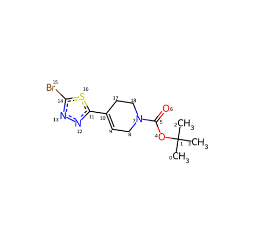 CC(C)(C)OC(=O)N1CC=C(c2nnc(Br)s2)CC1